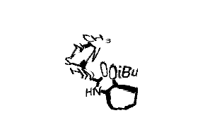 Cc1nsc(NC(=O)Nc2ccccc2OCC(C)C)n1